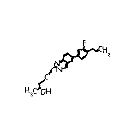 C=CCc1ccc(-c2ccc3nc(/C=C/CCCC(C)O)ncc3c2)cc1F